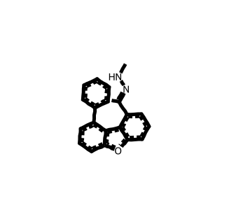 CN/N=C(\C)c1cccc2oc3cccc(-c4ccccc4)c3c12